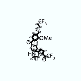 COc1cc(C(=O)N2CCC3(CC2)NC(C)(C)Cn2c(C(=O)C(F)(F)F)ccc23)ccc1COCCC(F)(F)F